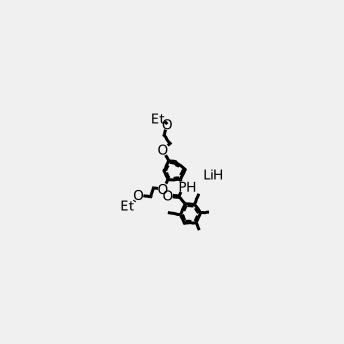 CCOCCOc1ccc(PC(=O)c2c(C)cc(C)c(C)c2C)c(OCCOCC)c1.[LiH]